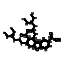 CCN(CC)CCCc1cc2oc3ccc(C(=O)O)cc3c2c(CCCN(CC)CC)c1C(=O)O